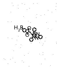 Bc1ccc2c(c1)C(=O)/C(=C/C=C1N(c3ccccc3)c3nc4ccccc4nc3N1c1ccccc1)C2=O